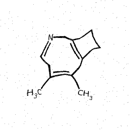 Cc1cnc2c(c1C)CC2